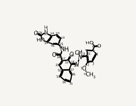 COc1ccc(C(=O)O)cc1N(C)/N=C1\C(=O)C(C(=O)Nc2ccc3[nH]c(=O)[nH]c3c2)=Cc2ccccc21